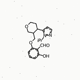 CC(C)n1nccc1C1CCOCC1COc1cccc(O)c1C=O